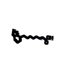 O=C(O)/C=C/CCCCCc1cccc2cncn12